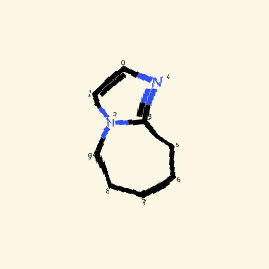 c1cn2c(n1)CCCCC2